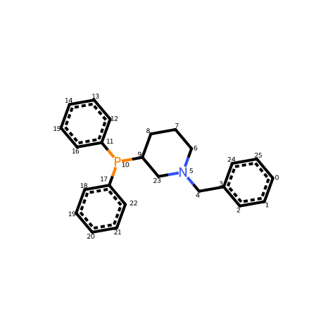 c1ccc(CN2CCCC(P(c3ccccc3)c3ccccc3)C2)cc1